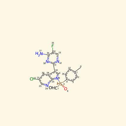 Cc1ccc([SH](=O)(C=O)n2cc(-c3ncc(F)c(N)n3)c3cc(Cl)cnc32)cc1